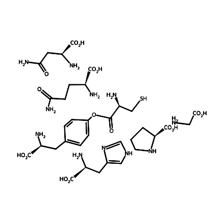 NC(=O)CC[C@H](N)C(=O)O.NC(=O)C[C@H](N)C(=O)O.NCC(=O)O.N[C@@H](Cc1c[nH]cn1)C(=O)O.N[C@@H](Cc1ccc(OC(=O)[C@@H](N)CS)cc1)C(=O)O.O=C(O)[C@@H]1CCCN1